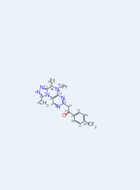 CC[C@@H]1c2nnc(C)n2-c2cnc(CC(=O)c3ccc(C(F)(F)F)cc3)nc2N1C(C)C